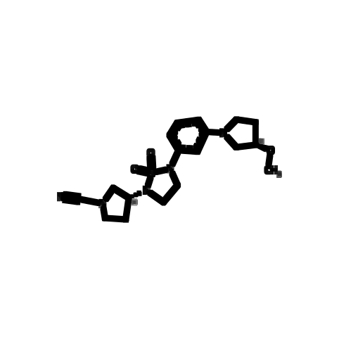 CO[C@@H]1CCN(c2cccc(N3CCN([C@@H]4CCN(C#N)C4)S3(=O)=O)c2)C1